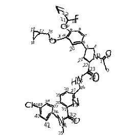 CC(=O)N1CC(c2ccc(OC(F)F)c(OCC3CC3)c2)C[C@@H]1C(=O)NCc1cccc(C(=O)N(C)c2ccc(Cl)cc2)n1